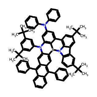 CC(C)(C)c1cc(N2c3cc4c(-c5ccccc5)c5ccccc5c(-c5ccccc5)c4cc3B3c4c(cc(N(c5ccccc5)c5ccccc5)cc42)-c2cc(C(C)(C)C)cc4c5cc(C(C)(C)C)ccc5n3c24)cc(C(C)(C)C)c1